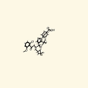 COc1cccc(Cl)c1C(=O)CN(CC1CC(C)(C)C1)C(=O)c1cnn(C23CCC(C(=O)O)(CC2)CC3)c1C(F)(F)F